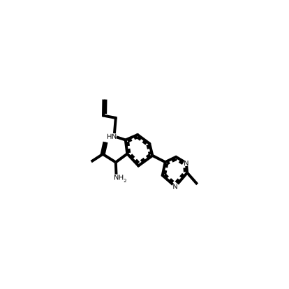 C=CCNc1ccc(-c2cnc(C)nc2)cc1C(N)C(=C)C